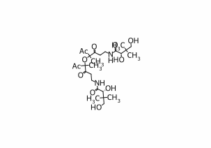 CC(=O)C(C)(OC(C)(C(C)=O)C(=O)CCNC(=O)[C@H](O)C(C)(C)CO)C(=O)CCNC(=O)[C@H](O)C(C)(C)CO